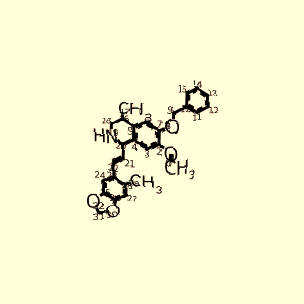 COc1cc2c(cc1OCc1ccccc1)C(C)CNC2/C=C/c1cc2c(cc1C)OCO2